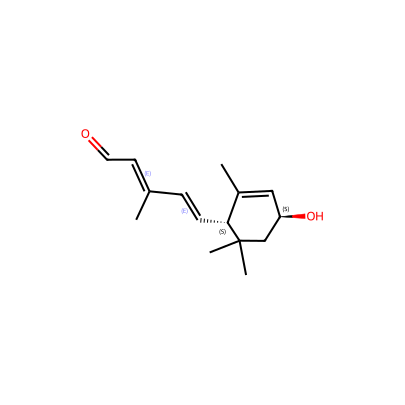 CC1=C[C@@H](O)CC(C)(C)[C@@H]1/C=C/C(C)=C/C=O